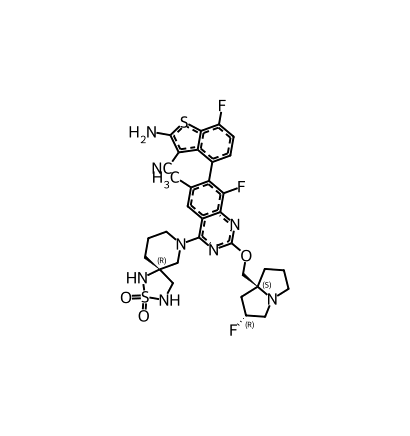 Cc1cc2c(N3CCC[C@]4(CNS(=O)(=O)N4)C3)nc(OC[C@@]34CCCN3C[C@H](F)C4)nc2c(F)c1-c1ccc(F)c2sc(N)c(C#N)c12